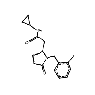 Cc1ccccc1CN1C(=O)CCC1CC(=O)NC1CC1